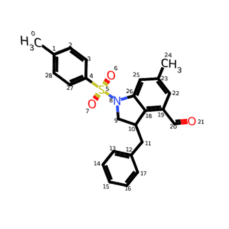 Cc1ccc(S(=O)(=O)N2CC(Cc3ccccc3)c3c(C=O)cc(C)cc32)cc1